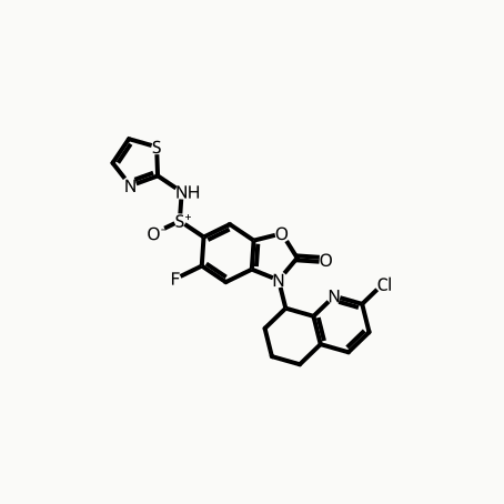 O=c1oc2cc([S+]([O-])Nc3nccs3)c(F)cc2n1C1CCCc2ccc(Cl)nc21